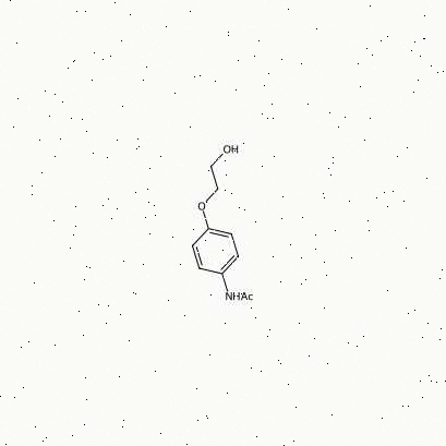 CC(=O)Nc1ccc(OCCO)cc1